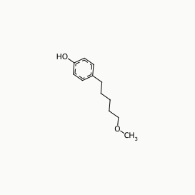 COCCCCCc1ccc(O)cc1